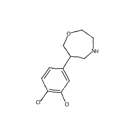 Clc1ccc(C2[CH]OCCNC2)cc1Cl